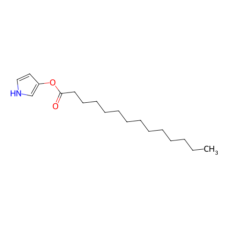 CCCCCCCCCCCCCC(=O)Oc1cc[nH]c1